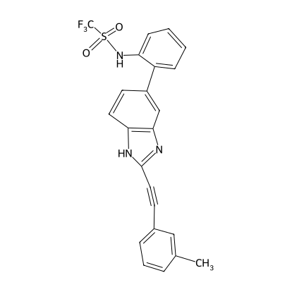 Cc1cccc(C#Cc2nc3cc(-c4ccccc4NS(=O)(=O)C(F)(F)F)ccc3[nH]2)c1